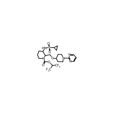 O=C(OC(C(F)(F)F)C(F)(F)F)N1CCCC(NS(=O)(=O)C2CC2)C1COC1CCN(c2ncccn2)CC1